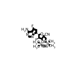 CC(C)(C)[Si](C)(C)OC[C@@]1(C#N)O[C@@H](c2cc(F)c3c(N)ncnn23)[C@H](F)C1O[Si](C)(C)C(C)(C)C